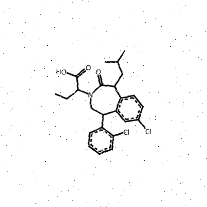 CCC(C(=O)O)N1CC(c2ccccc2Cl)c2cc(Cl)ccc2C(CC(C)C)C1=O